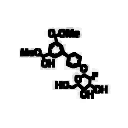 COC(=O)c1cc(-c2ccc(O[C@H]3O[C@H](CO)[C@@H](O)[C@H](O)[C@@H]3F)cc2)cc(C(O)OC)c1